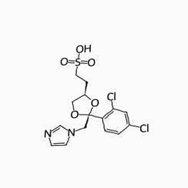 O=S(=O)(O)CC[C@@H]1CO[C@@](Cn2ccnc2)(c2ccc(Cl)cc2Cl)O1